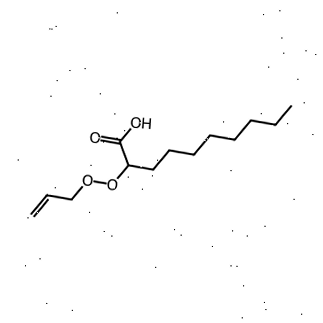 C=CCOOC(CCCCCCCC)C(=O)O